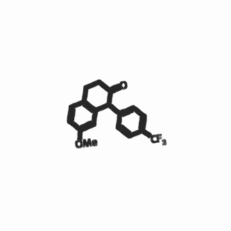 COc1ccc2c(c1)C(c1ccc(C(F)(F)F)cc1)C(=O)CC2